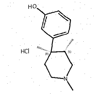 C[C@@H]1CN(C)CC[C@@]1(C)c1cccc(O)c1.Cl